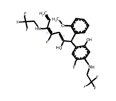 C=C/C(NCC(F)(F)F)=C(F)\C=C(/O)C(c1cc(F)c(NCC(F)(F)F)cc1O)c1ccccc1OC